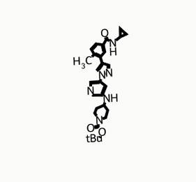 Cc1ccc(C(=O)NC2CC2)cc1-c1cnn(-c2cncc(NC3CCN(C(=O)OC(C)(C)C)CC3)c2)c1